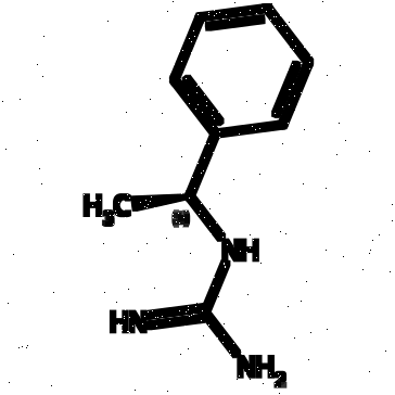 C[C@H](NC(=N)N)c1ccccc1